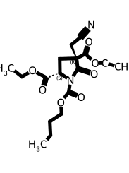 CCCCOC(=O)N1C(=O)[C@@](CC#N)(C(=O)OCC)C[C@H]1C(=O)OCC